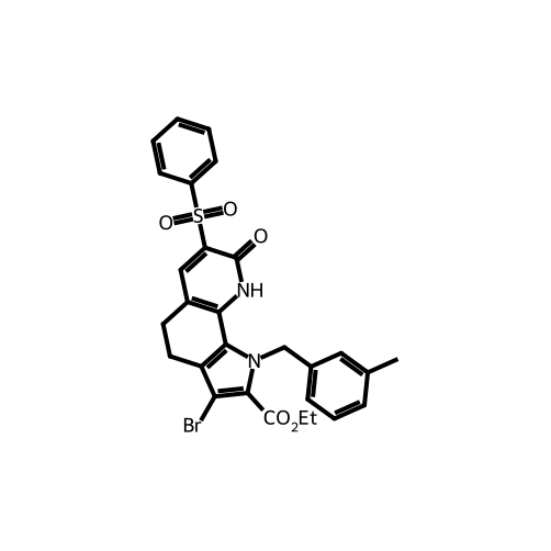 CCOC(=O)c1c(Br)c2c(n1Cc1cccc(C)c1)-c1[nH]c(=O)c(S(=O)(=O)c3ccccc3)cc1CC2